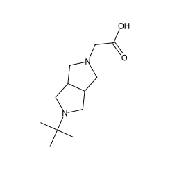 CC(C)(C)N1CC2CN(CC(=O)O)CC2C1